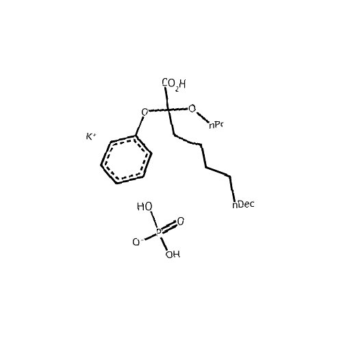 CCCCCCCCCCCCCCC(OCCC)(Oc1ccccc1)C(=O)O.O=P([O-])(O)O.[K+]